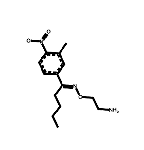 CCCCC(=NOCCN)c1ccc([N+](=O)[O-])c(C)c1